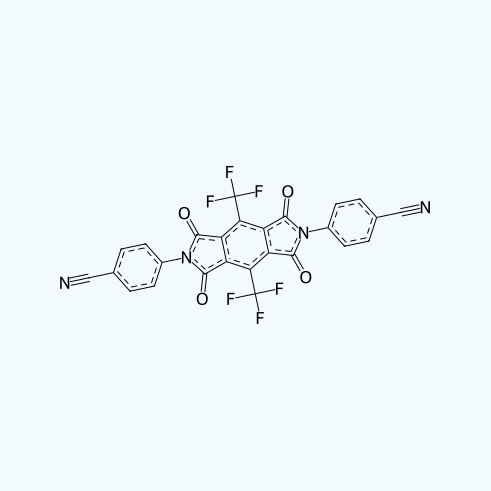 N#Cc1ccc(-n2c(=O)c3c(C(F)(F)F)c4c(=O)n(-c5ccc(C#N)cc5)c(=O)c4c(C(F)(F)F)c3c2=O)cc1